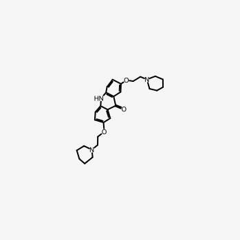 O=c1c2cc(OCCN3CCCCC3)ccc2[nH]c2ccc(OCCN3CCCCC3)cc12